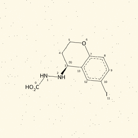 O=C(O)NN[C@H]1CCOc2ccc(I)cc21